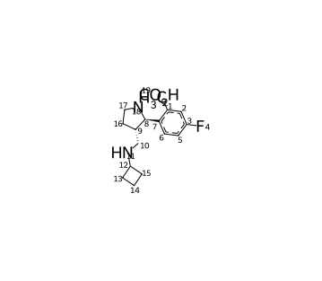 Cc1cc(F)ccc1[C@H]1[C@H](CNC2CCC2)CCN1C(=O)O